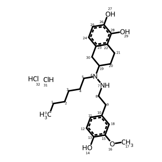 CCCCCCN(NCCc1ccc(O)c(OC)c1)C1CCc2c(ccc(O)c2O)C1.Cl.Cl